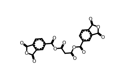 O=C(CC(=O)OC(=O)c1ccc2c(c1)C(=O)OC2=O)OC(=O)c1ccc2c(c1)C(=O)OC2=O